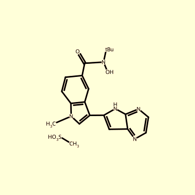 CS(=O)(=O)O.Cn1cc(-c2cc3nccnc3[nH]2)c2cc(C(=O)N(O)C(C)(C)C)ccc21